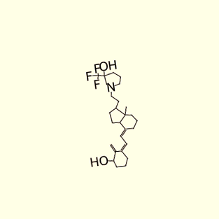 C=C1/C(=C\C=C2/CCCC3(C)C(CCN4CCCC(O)(C(F)(F)F)C4)CCC23)CCCC1O